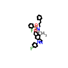 C[C@]12Cc3cnn(-c4ccc(F)cc4)c3C=C1CC[C@@H]2CN(CCCc1ccccc1)S(=O)(=O)c1ccccc1F